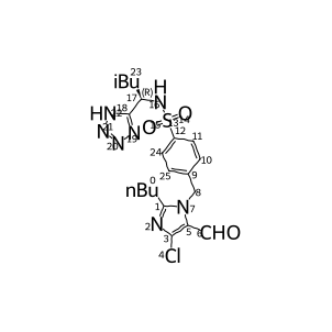 CCCCc1nc(Cl)c(C=O)n1Cc1ccc(S(=O)(=O)N[C@@H](c2nnn[nH]2)C(C)CC)cc1